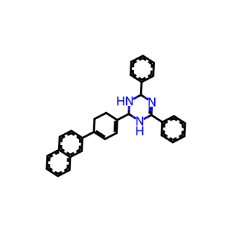 C1=C(c2ccc3ccccc3c2)CCC(C2NC(c3ccccc3)=NC(c3ccccc3)N2)=C1